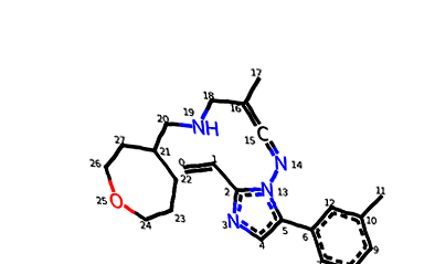 C=Cc1ncc(-c2cccc(C)c2)n1N=C=C(C)CNCC1CCCOCC1